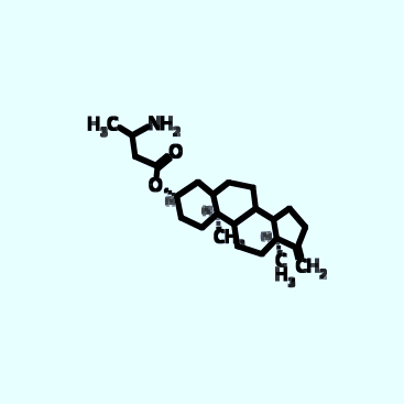 C=C1CCC2C3CCC4C[C@@H](OC(=O)CC(C)N)CC[C@]4(C)C3CC[C@]12C